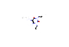 C=CCn1c(N)c(NCCCCC)c(=O)n(CC=C)c1=O